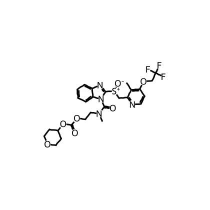 Cc1c(OCC(F)(F)F)ccnc1C[S+]([O-])c1nc2ccccc2n1C(=O)N(C)CCOC(=O)OC1CCOCC1